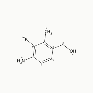 Cc1c(CO)ccc(N)c1F